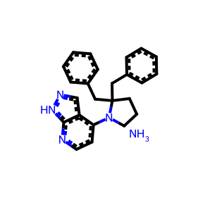 N.c1ccc(CC2(Cc3ccccc3)CCCN2c2ccnc3[nH]ncc23)cc1